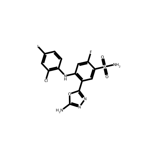 Nc1nnc(-c2cc(S(N)(=O)=O)c(F)cc2Nc2ccc(I)cc2Cl)o1